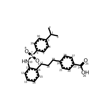 CC(C)c1ccc(S(=O)(=O)Nc2ccccc2CCCc2ccc(C(=O)O)cc2)cc1